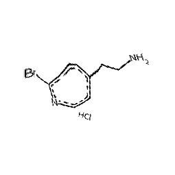 Cl.NCCc1ccnc(Br)c1